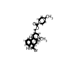 CN1CCN(C(=O)OC[C@@H]2C[C@@H]3c4cccc5[nH]c(Br)c(c45)C[C@H]3N(C)C2)CC1